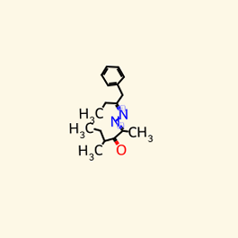 CC/C(Cc1ccccc1)=N\N=C(/C)C(=O)C(C)CC